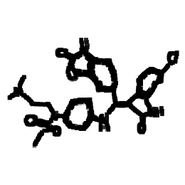 CN(C)CCN(c1ccc(N/C(=C2\C(=O)Nc3cc(Cl)ccc32)c2ccc3[nH]c(=O)oc3c2)cc1)S(C)(=O)=O